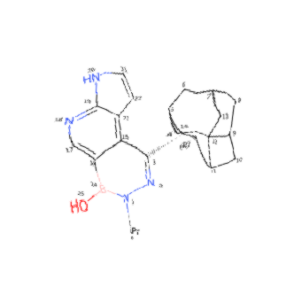 CC(C)N1N=C([C@@H]2C3CC4CC5CC2C5(C4)C3)c2c(cnc3[nH]ccc23)B1O